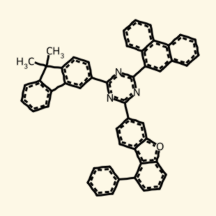 CC1(C)c2ccccc2-c2cc(-c3nc(-c4ccc5c(c4)oc4cccc(-c6ccccc6)c45)nc(-c4cc5ccccc5c5ccccc45)n3)ccc21